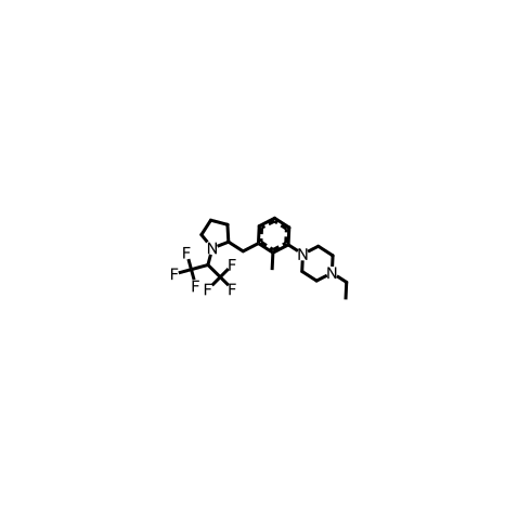 CCN1CCN(c2cccc(CC3CCCN3C(C(F)(F)F)C(F)(F)F)c2C)CC1